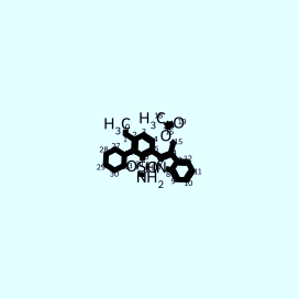 CCc1ccc(-c2[nH]c3ccccc3c2COC(C)=O)c(S(N)(=O)=O)c1C1CCCCC1